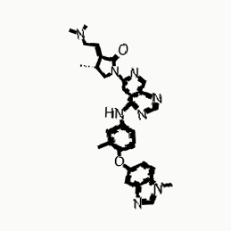 Cc1cc(Nc2ncnc3cnc(N4C[C@H](C)/C(=C\CN(C)C)C4=O)cc23)ccc1Oc1ccc2c(c1)ncn2C